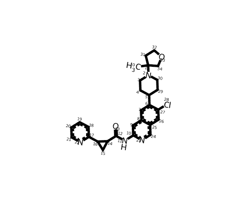 CC1(N2CCC(c3cc4cc(NC(=O)C5CC5c5ccccn5)ncc4cc3Cl)CC2)CCOC1